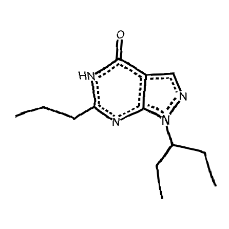 CCCc1nc2c(cnn2C(CC)CC)c(=O)[nH]1